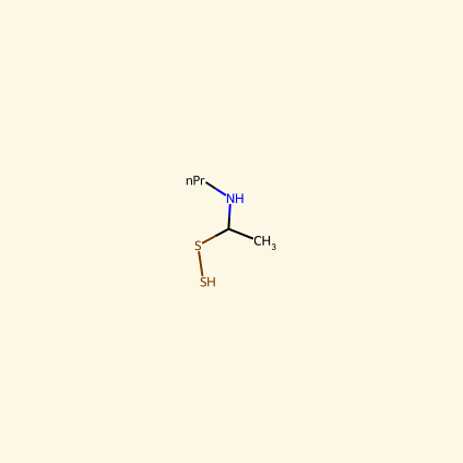 CCCNC(C)SS